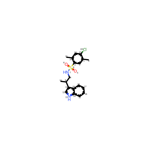 Cc1cc(S(=O)(=O)NCC(C)c2c[nH]c3ccccc23)c(C)cc1Cl